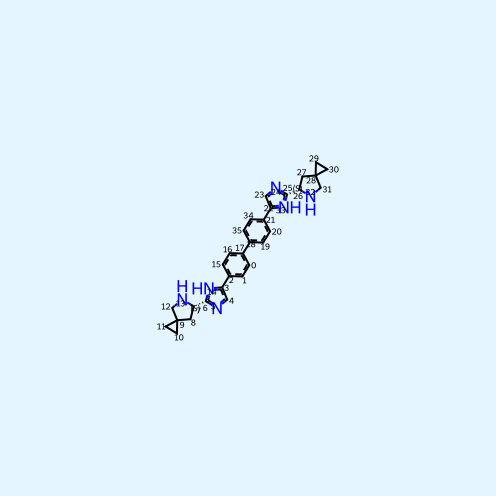 c1cc(-c2cnc([C@@H]3CC4(CC4)CN3)[nH]2)ccc1-c1ccc(-c2cnc([C@@H]3CC4(CC4)CN3)[nH]2)cc1